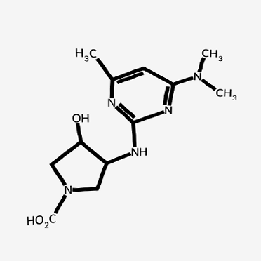 Cc1cc(N(C)C)nc(NC2CN(C(=O)O)CC2O)n1